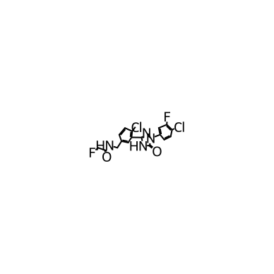 O=C(CF)NCc1ccc(Cl)c(-c2nn(-c3ccc(Cl)c(F)c3)c(=O)[nH]2)c1